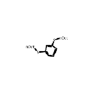 CCCCCCCCSc1c[c]cc(SCCCCCCCC)c1